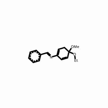 CCOC1(OC)C=CC(N=Cc2ccccc2)=CC1